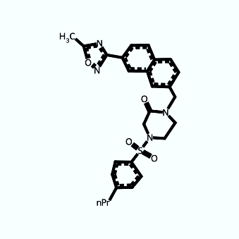 CCCc1ccc(S(=O)(=O)N2CCN(Cc3ccc4ccc(-c5noc(C)n5)cc4c3)C(=O)C2)cc1